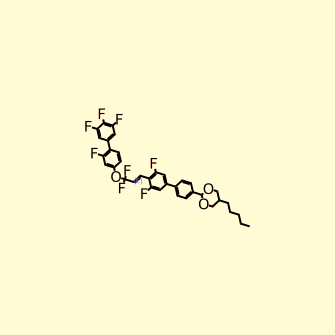 CCCCCC1COC(c2ccc(-c3cc(F)c(/C=C/C(F)(F)Oc4ccc(-c5cc(F)c(F)c(F)c5)c(F)c4)c(F)c3)cc2)OC1